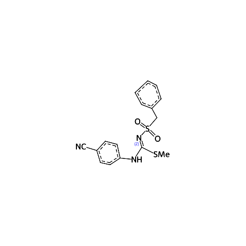 CS/C(=N\S(=O)(=O)Cc1ccccc1)Nc1ccc(C#N)cc1